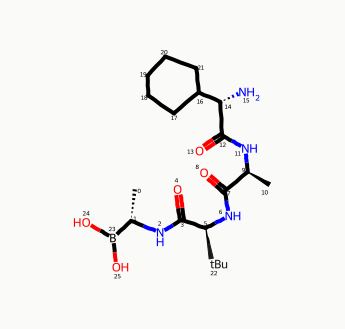 C[C@H](NC(=O)[C@@H](NC(=O)[C@H](C)NC(=O)[C@@H](N)C1CCCCC1)C(C)(C)C)B(O)O